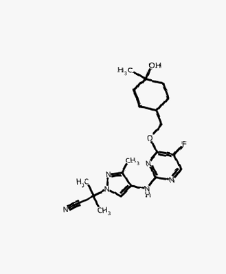 Cc1nn(C(C)(C)C#N)cc1Nc1ncc(F)c(OCC2CCC(C)(O)CC2)n1